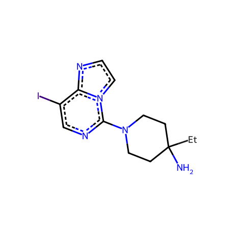 CCC1(N)CCN(c2ncc(I)c3nccn23)CC1